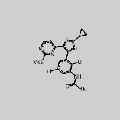 CSc1nccc(-c2sc(C3CC3)nc2-c2cc(Cl)cc(NC(=O)C(C)(C)C)c2Cl)n1